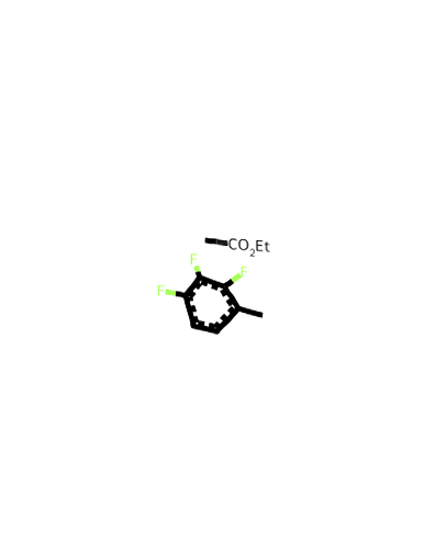 CCOC(C)=O.Cc1ccc(F)c(F)c1F